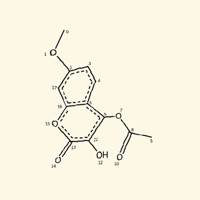 COc1ccc2c(OC(C)=O)c(O)c(=O)oc2c1